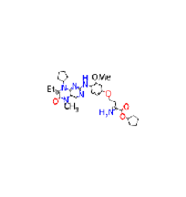 CC[C@@H]1C(=O)N(C)c2cnc(Nc3ccc(OCC[C@H](N)C(=O)OC4CCCC4)cc3OC)nc2N1C1CCCC1